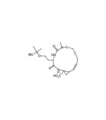 CN1CCCC/C=C\C2CC2(C(=O)O)NC(=O)C(CCO[Si](C)(C)C(C)(C)C)NC1=O